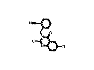 N#Cc1ccccc1Cn1c(Cl)nc2ccc(Cl)cc2c1=O